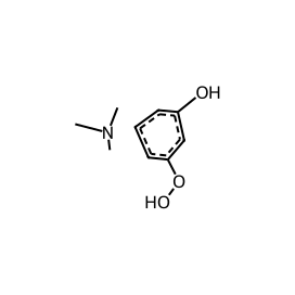 CN(C)C.OOc1cccc(O)c1